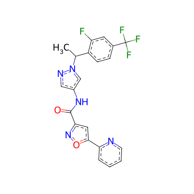 CC(c1ccc(C(F)(F)F)cc1F)n1cc(NC(=O)c2cc(-c3ccccn3)on2)cn1